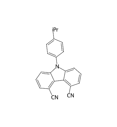 CC(C)c1ccc(-n2c3cccc(C#N)c3c3c(C#N)cccc32)cc1